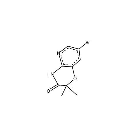 CC1(C)Oc2cc(Br)cnc2NC1=O